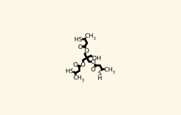 CC(S)CC(=O)OCC(CO)(COC(=O)CC(C)S)COC(=O)CC(C)S